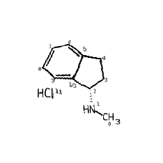 CN[C@H]1CCc2ccccc21.Cl